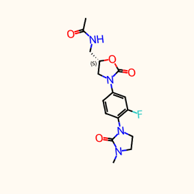 CC(=O)NC[C@H]1CN(c2ccc(N3CCN(C)C3=O)c(F)c2)C(=O)O1